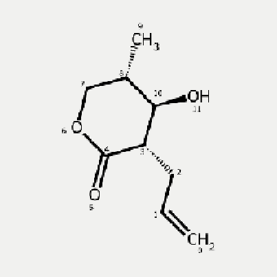 C=CC[C@@H]1C(=O)OC[C@H](C)[C@H]1O